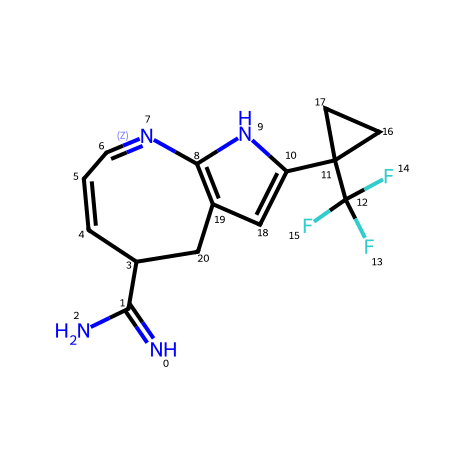 N=C(N)C1C=C/C=N\c2[nH]c(C3(C(F)(F)F)CC3)cc2C1